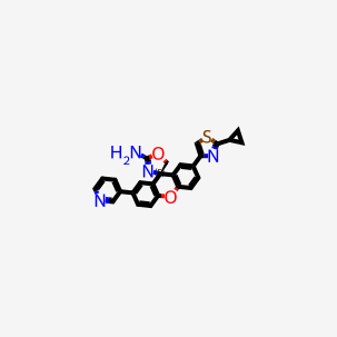 NC1=N[C@@]2(CO1)c1cc(-c3cccnc3)ccc1Oc1ccc(-c3csc(C4CC4)n3)cc12